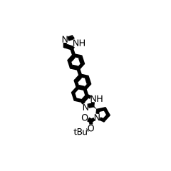 CC(C)(C)OC(=O)N1CCC[C@H]1c1nc2c([nH]1)-c1ccc(-c3ccc(-c4cnc[nH]4)cc3)cc1CC2